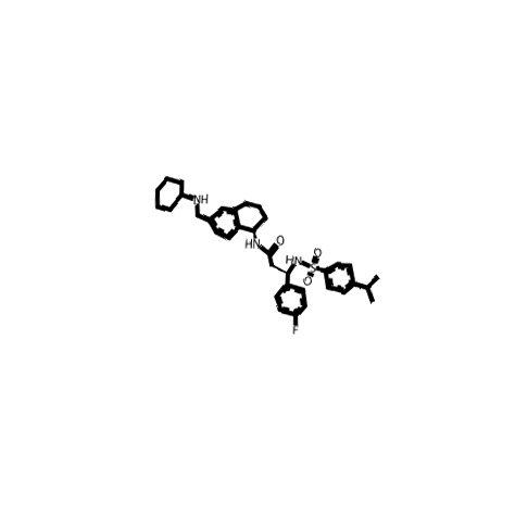 CC(C)c1ccc(S(=O)(=O)N[C@H](CC(=O)N[C@@H]2CCCc3cc(CNC4CCCCC4)ccc32)c2ccc(F)cc2)cc1